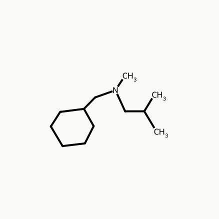 CC(C)CN(C)CC1CCCCC1